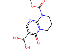 CC(C)(C)OC(=O)N1CCCn2c1ncc(B(O)O)c2=O